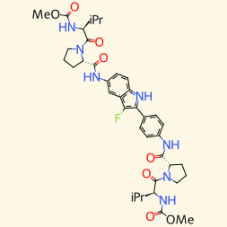 COC(=O)N[C@H](C(=O)N1CCC[C@H]1C(=O)Nc1ccc(-c2[nH]c3ccc(NC(=O)[C@@H]4CCCN4C(=O)[C@@H](NC(=O)OC)C(C)C)cc3c2F)cc1)C(C)C